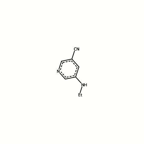 CCNc1cncc(C#N)c1